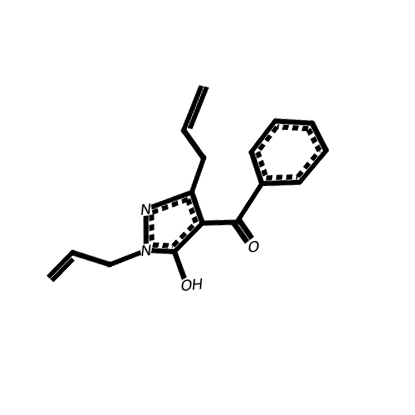 C=CCc1nn(CC=C)c(O)c1C(=O)c1ccccc1